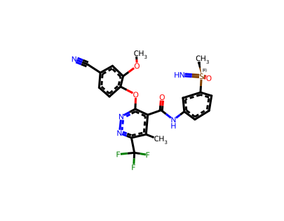 COc1cc(C#N)ccc1Oc1nnc(C(F)(F)F)c(C)c1C(=O)Nc1cccc([S@](C)(=N)=O)c1